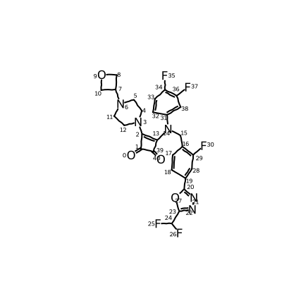 O=c1c(N2CCN(C3COC3)CC2)c(N(Cc2ccc(-c3nnc(C(F)F)o3)cc2F)c2ccc(F)c(F)c2)c1=O